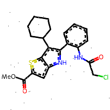 COC(=O)c1cc2[nH]c(-c3ccccc3NC(=O)CCl)c(C3CCCCC3)c2s1